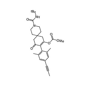 CC#Cc1cc(C)c(C2=C(OC(=O)OC)CC3(CCN(C(=O)NC(C)(C)C)CC3)CC2=O)c(C)c1